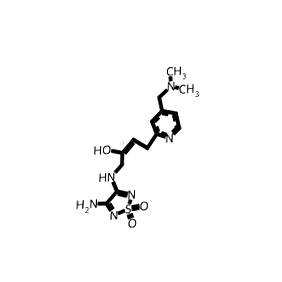 CN(C)Cc1ccnc(C/C=C(/O)CNC2=NS(=O)(=O)N=C2N)c1